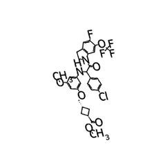 COc1cc(NC(C(=O)N2CCc3cc(F)c(OC(F)(F)F)cc32)c2ccc(Cl)cc2)cc(OC[C@H]2C[C@H](C(=O)OC)C2)c1